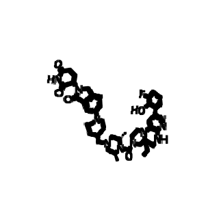 CCC12CNc3nnc(-c4cccc(F)c4O)cc3N1CCN(C(=O)N1[C@@H](C)CN(CC3CCN(c4ccc5c(c4)C(=O)N(C4CCC(=O)NC4=O)C5)CC3)C[C@@H]1C)C2